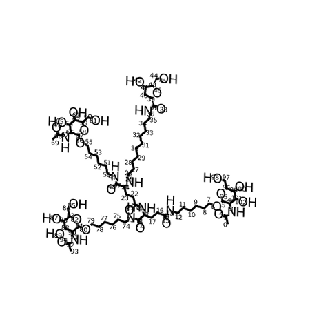 CC(=O)NC1C(OCCCCCCNC(=O)CCC(NC(=O)CCC(NCCCCCCCCCCNC(=O)[C@H]2C[C@H](O)[C@@H](CO)O2)C(=O)NCCCCCCOC2OC(CO)C(O)C(O)C2NC(C)=O)C(=O)NCCCCCCOC2OC(CO)C(O)C(O)C2NC(C)=O)OC(CO)C(O)C1O